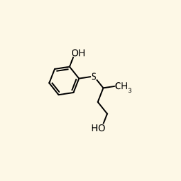 CC(CCO)Sc1ccccc1O